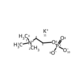 C[N+](C)(C)CCOP(=O)([O-])[O-].[K+]